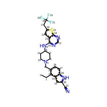 CCc1c(CN2CCC(Nc3ncnc4sc(CC(F)(F)F)cc34)CC2)ccc2[nH]c(C#N)cc12